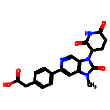 Cn1c(=O)n(C2CCC(=O)NC2=O)c2cnc(-c3ccc(CC(=O)O)cc3)cc21